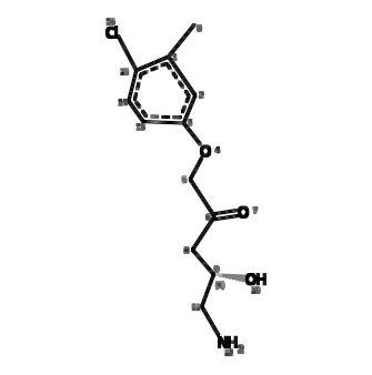 Cc1cc(OCC(=O)C[C@H](O)CN)ccc1Cl